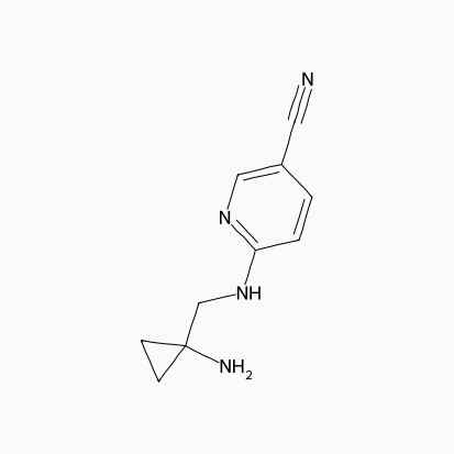 N#Cc1ccc(NCC2(N)CC2)nc1